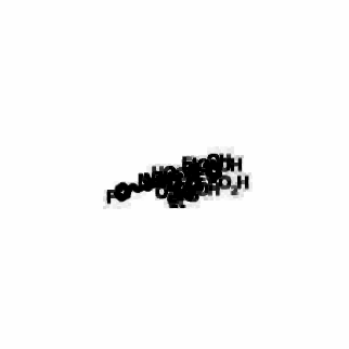 CCC(CC)(Oc1cc(C(=O)O)cc(O)c1O)C(=O)c1cc(O)c2c(c1)OC(CC)(C(=O)c1cc(O)c(O)c(OC(=O)c3cc(CCc4ccc(F)cc4)n[nH]3)c1)CO2